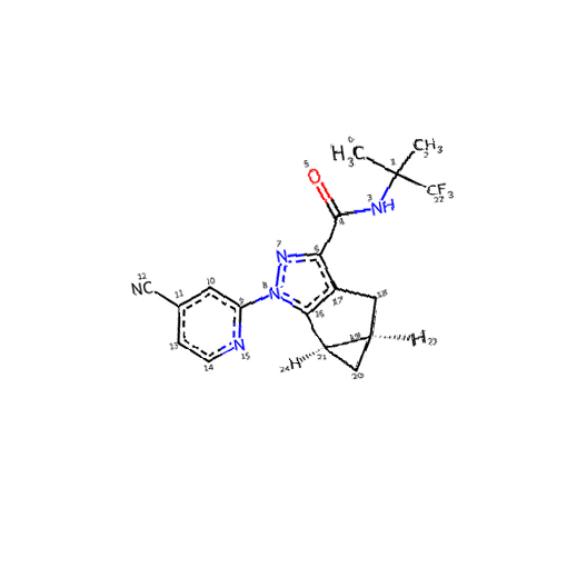 CC(C)(NC(=O)c1nn(-c2cc(C#N)ccn2)c2c1C[C@H]1C[C@@H]21)C(F)(F)F